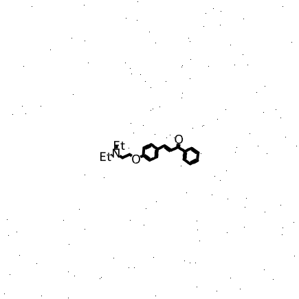 CCN(CC)CCOc1ccc(C=CC(=O)c2ccccc2)cc1